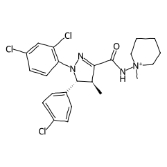 C[C@@H]1C(C(=O)N[N+]2(C)CCCCC2)=NN(c2ccc(Cl)cc2Cl)[C@H]1c1ccc(Cl)cc1